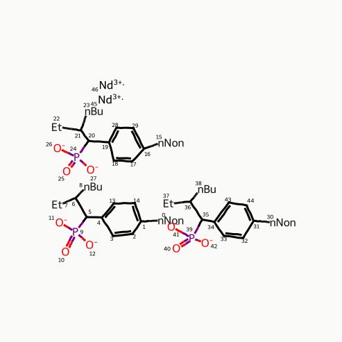 CCCCCCCCCc1ccc(C(C(CC)CCCC)P(=O)([O-])[O-])cc1.CCCCCCCCCc1ccc(C(C(CC)CCCC)P(=O)([O-])[O-])cc1.CCCCCCCCCc1ccc(C(C(CC)CCCC)P(=O)([O-])[O-])cc1.[Nd+3].[Nd+3]